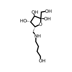 OCCCCNC[C@H]1O[C@@](O)(CO)[C@H](O)[C@H]1O